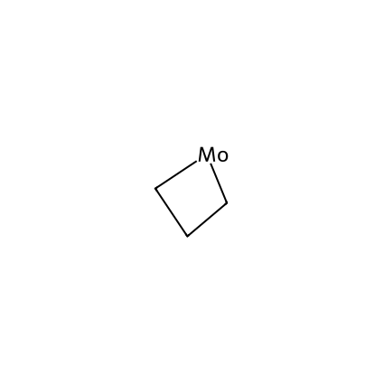 C1[CH2][Mo][CH2]1